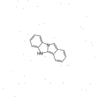 c1ccc2c(c1)cn1c3ccccc3[nH]c21